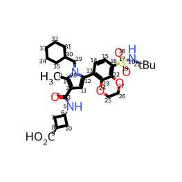 Cc1c(C(=O)N[C@H]2C[C@H](C(=O)O)C2)cc(-c2ccc(S(=O)(=O)NC(C)(C)C)c3c2OCCO3)n1CC1CCCCC1